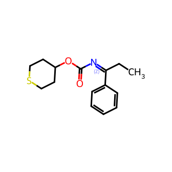 CC/C(=N/C(=O)OC1CCSCC1)c1ccccc1